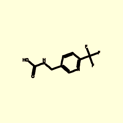 O=C(O)NCc1ccc(C(F)(F)F)nc1